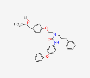 CCOC(Cc1ccc(OCCN(CCCc2ccccc2)C(=O)Nc2ccc(Oc3ccccc3)cc2)cc1)C(=O)O